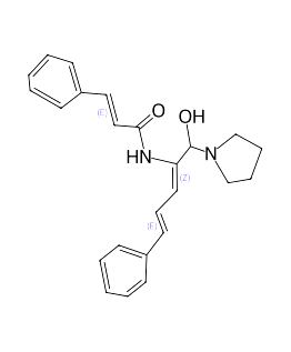 O=C(/C=C/c1ccccc1)N/C(=C\C=C\c1ccccc1)C(O)N1CCCC1